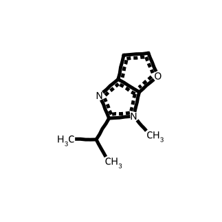 CC(C)c1nc2ccoc2n1C